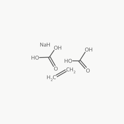 C=C.O=C(O)O.O=C(O)O.[NaH]